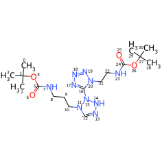 CC(C)(C)OC(=O)NCCCN1[C]=NNN1c1nnnn1CCNC(=O)OC(C)(C)C